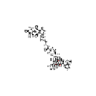 Nc1nnc(-c2ccccc2O)cc1N1CC2CCC(C1)N2c1cccc(OCCN2CCN(C(=O)CCCCCNc3cccc4c3C(=O)N(C3CCC(=O)NC3=O)C4=O)CC2)c1